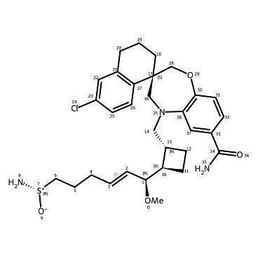 CO[C@@H](/C=C/CCC[S@@+](N)[O-])[C@@H]1CC[C@H]1CN1C[C@@]2(CCCc3cc(Cl)ccc32)COc2ccc(C(N)=O)cc21